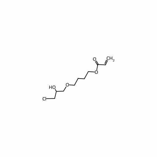 C=CC(=O)OCCCCOCC(O)CCl